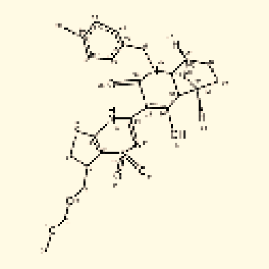 COCOCC1CSC2=C1S(=O)(=O)N=C(C1=C(O)C3C([C@@H]4CC[C@H]3C4)N(Cc3ccc(F)cc3)C1=O)N2